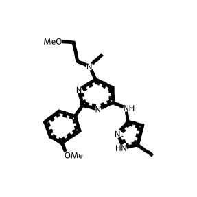 COCCN(C)c1cc(Nc2cc(C)[nH]n2)nc(-c2cccc(OC)c2)n1